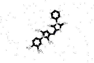 Cc1ccc(-n2c(C)cc(/C=C3/SC(=O)N(c4ccccc4)C3=O)c2C)cc1[N+](=O)[O-]